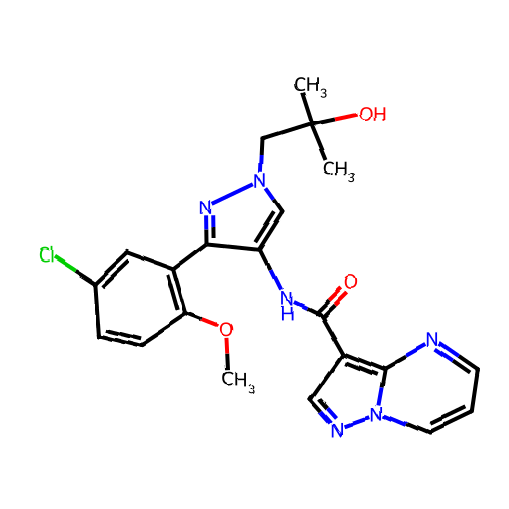 COc1ccc(Cl)cc1-c1nn(CC(C)(C)O)cc1NC(=O)c1cnn2cccnc12